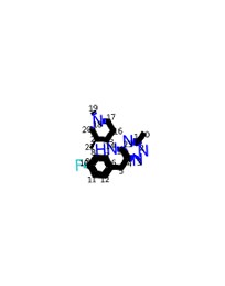 Cc1nnc(Cc2ccc(F)cc2)c(N[C@H]2CCN(C)C[C@@H]2C)n1